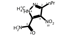 C.CCCc1n[nH]c(C(N)=O)c1[N+](=O)[O-]